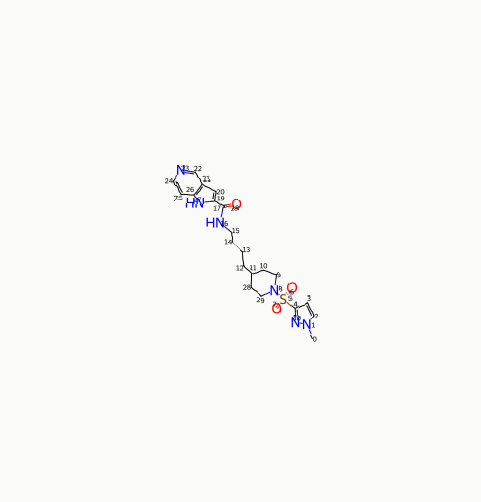 Cn1ccc(S(=O)(=O)N2CCC(CCCCNC(=O)c3cc4cnccc4[nH]3)CC2)n1